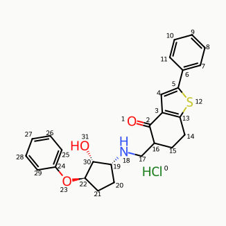 Cl.O=C1c2cc(-c3ccccc3)sc2CCC1CN[C@@H]1CC[C@@H](Oc2ccccc2)[C@@H]1O